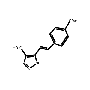 COc1ccc(/C=C/c2[nH]nnc2C(=O)O)cc1